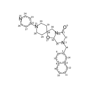 O=C1CN(Cc2ccc3ccccc3c2)CC2OC3(CCN(c4ccncc4)CC3)CN12